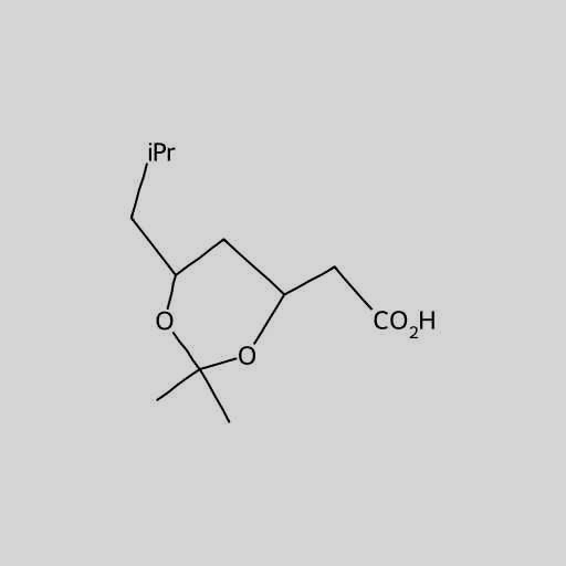 CC(C)CC1CC(CC(=O)O)OC(C)(C)O1